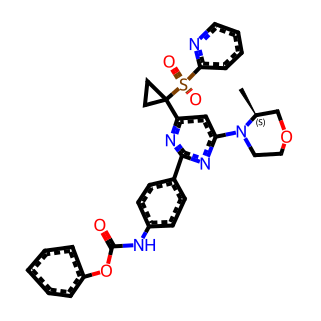 C[C@H]1COCCN1c1cc(C2(S(=O)(=O)c3ccccn3)CC2)nc(-c2ccc(NC(=O)Oc3ccccc3)cc2)n1